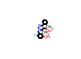 C=C(CC(C)O)N(/C=N\Cc1ccccc1)Cc1cc(O)ccc1F